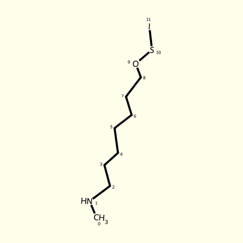 CNCCCCCCCOSI